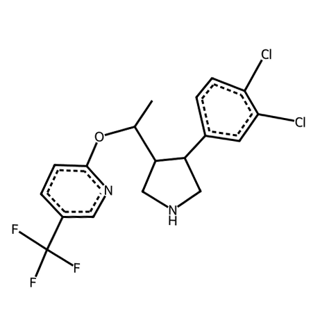 CC(Oc1ccc(C(F)(F)F)cn1)C1CNCC1c1ccc(Cl)c(Cl)c1